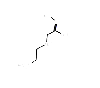 N/C(CNCCC(=O)O)=N/O